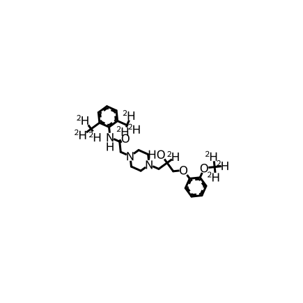 [2H]C(O)(COc1ccccc1OC([2H])([2H])[2H])CN1CCN(CC(=O)Nc2c(C([2H])([2H])[2H])cccc2C([2H])([2H])[2H])CC1